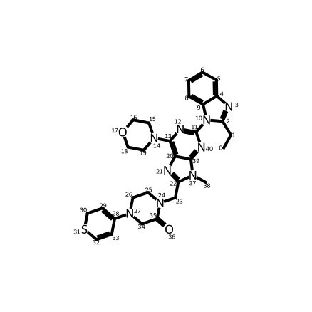 CCc1nc2ccccc2n1-c1nc(N2CCOCC2)c2nc(CN3CCN(C4=CCSC=C4)CC3=O)n(C)c2n1